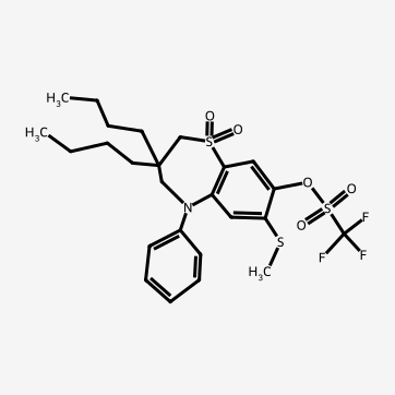 CCCCC1(CCCC)CN(c2ccccc2)c2cc(SC)c(OS(=O)(=O)C(F)(F)F)cc2S(=O)(=O)C1